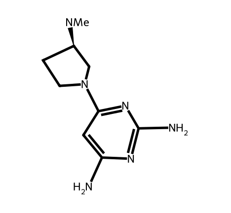 CN[C@@H]1CCN(c2cc(N)nc(N)n2)C1